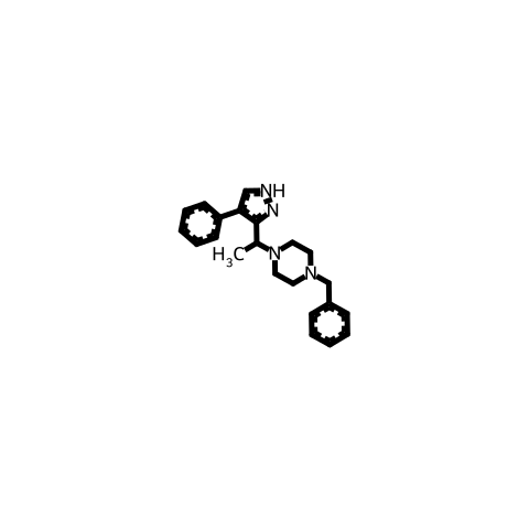 CC(c1n[nH]cc1-c1ccccc1)N1CCN(Cc2ccccc2)CC1